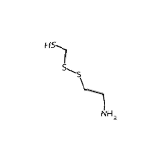 NCCSSCS